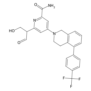 NC(=O)c1cc(N2CCc3c(cccc3-c3ccc(C(F)(F)F)cc3)C2)cc(C(C=O)CO)n1